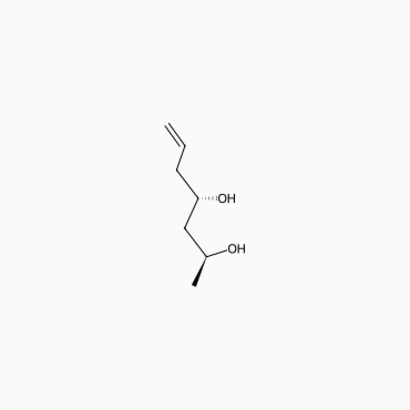 C=CC[C@H](O)C[C@H](C)O